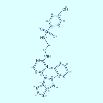 O=S(=O)(NCCNc1nccc(-c2c(-c3ccccc3)nc3sccn23)n1)c1ccc(O)cc1